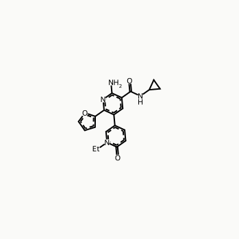 CCn1cc(-c2cc(C(=O)NC3CC3)c(N)nc2-c2ccco2)ccc1=O